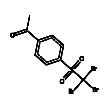 CC(=O)c1ccc(S(=O)(=O)C(Br)(Br)Br)cc1